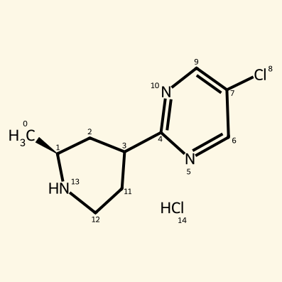 C[C@H]1CC(c2ncc(Cl)cn2)CCN1.Cl